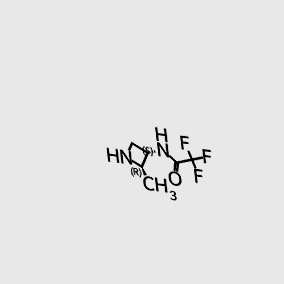 C[C@H]1NC[C@@H]1NC(=O)C(F)(F)F